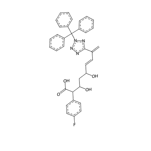 C=C(C=CC(O)CC(O)C(C(=O)O)c1ccc(F)cc1)c1nnn(C(c2ccccc2)(c2ccccc2)c2ccccc2)n1